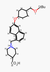 CC(C)(C)OCC1CCC(Oc2ccc3c(CN4CCC(C(=O)O)CC4)cccc3c2)CC1